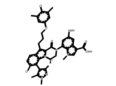 CNc1cc(N2C[C@@H](C)n3c(c(CCCOc4cc(C)c(Cl)c(C)c4)c4ccc(Cl)c(-c5c(C)nn(C)c5C)c43)C2=O)c2c(c1)c(C(=O)OC)cn2C